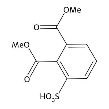 COC(=O)c1cccc(S(=O)(=O)O)c1C(=O)OC